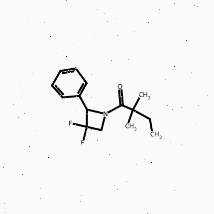 CCC(C)(C)C(=O)N1CC(F)(F)C1c1ccccc1